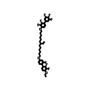 C=CC(CCCCCCOc1ccc(-c2ccc(OCC)c(F)c2F)c(F)c1)CCCCCCOc1ccc(-c2cc(F)c(F)c(F)c2)c(F)c1F